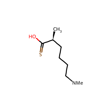 CNCCCC[C@H](C)C(O)=S